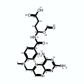 CN(Cc1cnc2nc(N)nc(N)c2n1)c1ccc(C(=O)NC(CCC(=O)O)OC=O)cc1